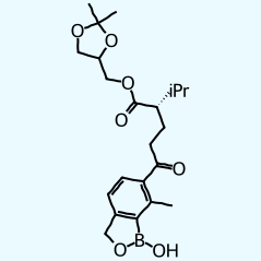 Cc1c(C(=O)CC[C@H](C(=O)OCC2COC(C)(C)O2)C(C)C)ccc2c1B(O)OC2